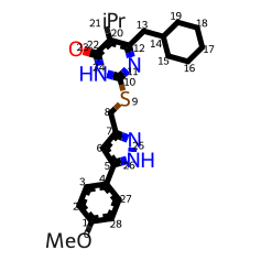 COc1ccc(-c2cc(CSc3nc(CC4CCCCC4)c(C(C)C)c(=O)[nH]3)n[nH]2)cc1